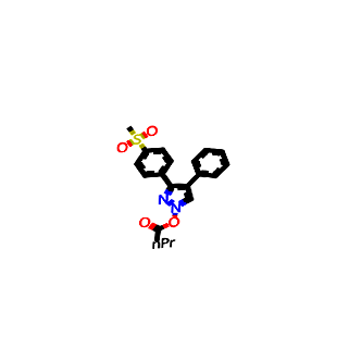 CCCC(=O)On1cc(-c2ccccc2)c(-c2ccc(S(C)(=O)=O)cc2)n1